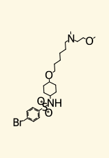 COCCN(C)CCCCCCOC1CCC(NS(=O)(=O)c2ccc(Br)cc2)CC1